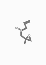 C=CCN(CC1(C)CO1)C(C)=O